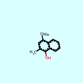 COc1cc(C)c(O)c2ccccc12